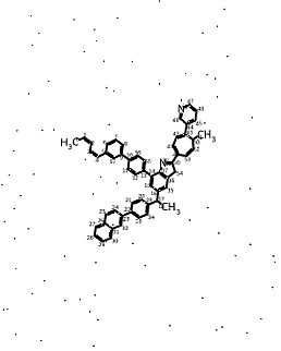 C/C=C\C=C/c1cccc(-c2ccc(-c3cc(C(C)c4ccc(-c5ccc6ccccc6c5)cc4)cc4c3N=C(C3=CC=C(c5cccnc5)C(C)C=C3)C4)cc2)c1